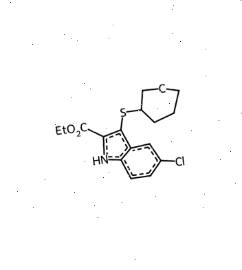 CCOC(=O)c1[nH]c2ccc(Cl)cc2c1SC1CCCCC1